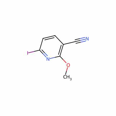 COc1nc(I)ccc1C#N